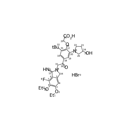 Br.CCOc1cc2c(c(F)c1OCC)C(=N)N(CC(=O)c1cc(N3CCC(O)C3)c(OCC(=O)O)c(C(C)(C)C)c1)C2